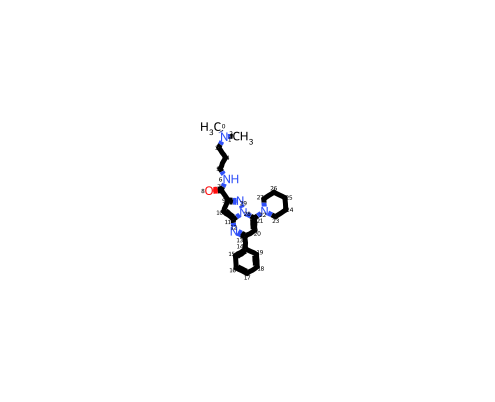 CN(C)CCCNC(=O)c1cc2nc(-c3ccccc3)cc(N3CCCCC3)n2n1